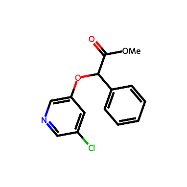 COC(=O)C(Oc1cncc(Cl)c1)c1ccccc1